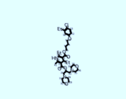 CCC1=C(C(=O)OCCCCOc2ccc(Cl)c(CC)c2)C(CC)C(C(=O)OC(CN2CCOCC2)CN2CCOCC2)=C(C)N1